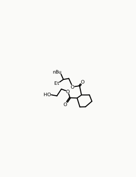 CCCCC(CC)COC(=O)C1CCCCC1C(=O)OCCO